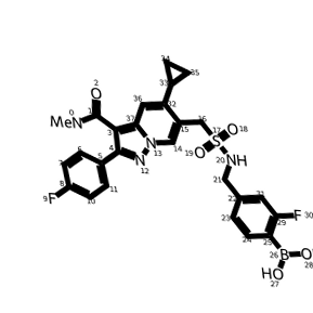 CNC(=O)c1c(-c2ccc(F)cc2)nn2cc(CS(=O)(=O)NCc3ccc(B(O)O)c(F)c3)c(C3CC3)cc12